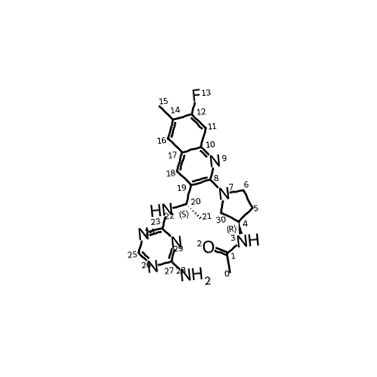 CC(=O)N[C@@H]1CCN(c2nc3cc(F)c(C)cc3cc2[C@H](C)Nc2ncnc(N)n2)C1